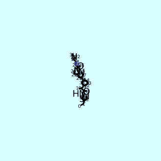 CCc1cnc(NC(=O)C(C)c2cccc(-c3cnc4c(c3)CCN4C(=O)/C=C/CN(C)C)c2)s1